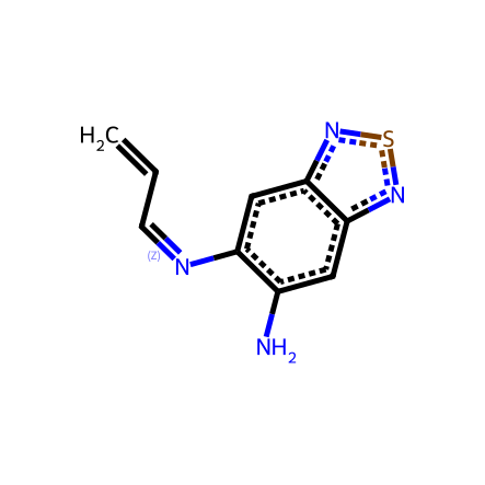 C=C/C=N\c1cc2nsnc2cc1N